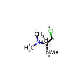 CN[SiH](CCl)N(C)C